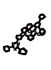 O=C1c2c(cccc2-n2c3ccccc3c3ccc(-c4nc(-c5ccccc5)nc(-c5ccccc5)n4)cc32)C(O)N1c1c(-c2ccccc2)cc(-c2ccccc2)cc1-c1ccccc1